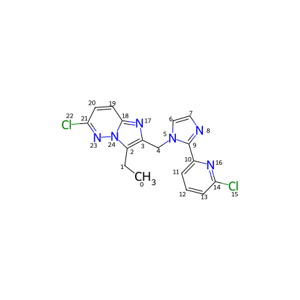 CCc1c(Cn2ccnc2-c2cccc(Cl)n2)nc2ccc(Cl)nn12